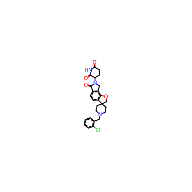 O=C1CCC(N2Cc3c(ccc4c3OCC43CCN(Cc4ccccc4Cl)CC3)C2=O)C(=O)N1